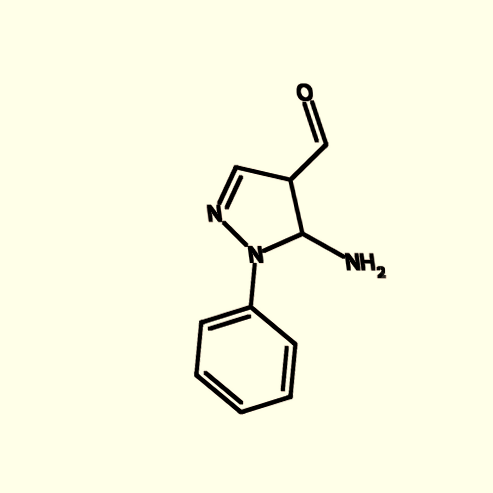 NC1C(C=O)C=NN1c1ccccc1